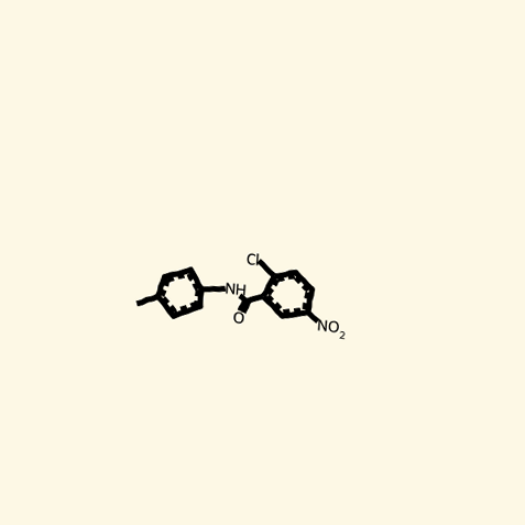 Cc1ccc(NC(=O)c2cc([N+](=O)[O-])ccc2Cl)cc1